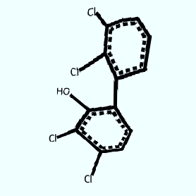 Oc1c(-c2cccc(Cl)c2Cl)ccc(Cl)c1Cl